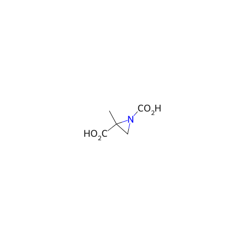 CC1(C(=O)O)CN1C(=O)O